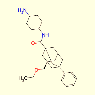 CCOC[C@]12CC3CC(C(=O)NC4CCC(N)CC4)(C1)C[C@@](c1ccccc1)(C3)C2